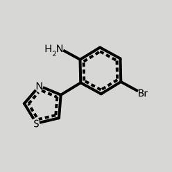 Nc1ccc(Br)cc1-c1cscn1